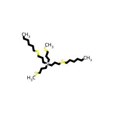 CCCCCCSCCC[Si](CCCSC)(CCCSC)CCCSCCCCCC